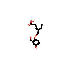 CCC(CCC(=O)O)COc1ccc(OC)cc1C=O